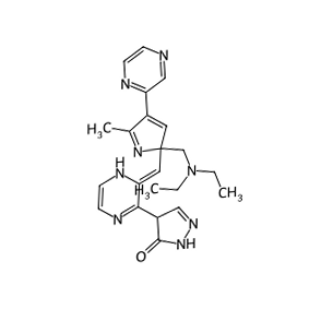 CCN(CC)CC1(C=C2NC=CN=C2C2C=NNC2=O)C=C(c2cnccn2)C(C)=N1